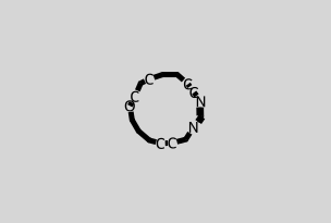 C1=NCCCCCCCOCCCCCCN=1